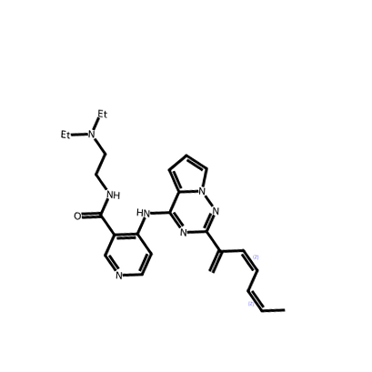 C=C(/C=C\C=C/C)c1nc(Nc2ccncc2C(=O)NCCN(CC)CC)c2cccn2n1